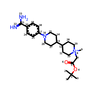 CC(C)(C)OC(=O)C[N+]1(C)CCC(C2CCN(c3ccc(C(=N)N)cc3)CC2)CC1